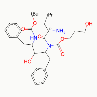 CC(C)C[C@H](N)C(=O)N(C(=O)OCCCO)C(Cc1ccccc1)C(O)C(Cc1ccccc1)NC(=O)OC(C)(C)C